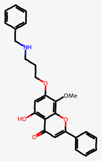 COc1c(OCCCNCc2ccccc2)cc(O)c2c(=O)cc(-c3ccccc3)oc12